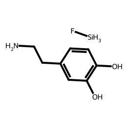 F[SiH3].NCCc1ccc(O)c(O)c1